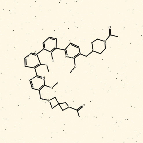 COc1nc(-c2cccc(-c3cccc(-c4ccc(CN5CC6(C5)CN(C(C)=O)C6)c(OC)n4)c3SC)c2Cl)ccc1CN1CCN(C(C)=O)CC1